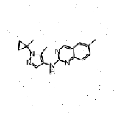 Cc1ccc2nc(Nc3cnn(C4(C)CC4)c3C)ncc2c1